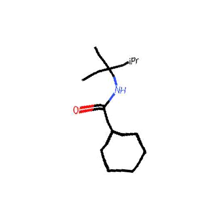 CC(C)C(C)(C)NC(=O)C1CCCCC1